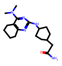 CN(C)c1nc(NC2CCC(CC(N)=O)CC2)nc2c1CCCC2